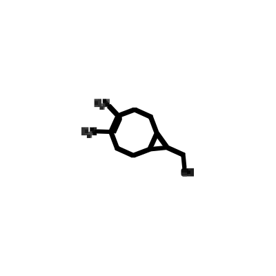 N/C1=C(\N)CCC2C(CO)C2CC1